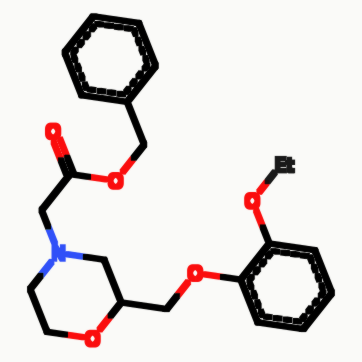 CCOc1ccccc1OCC1CN(CC(=O)OCc2ccccc2)CCO1